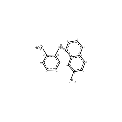 Nc1ccc2ccccc2c1.Nc1ccccc1C(=O)O